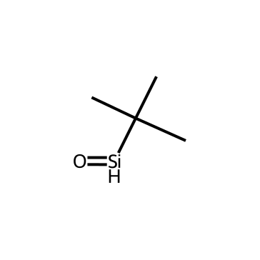 CC(C)(C)[SiH]=O